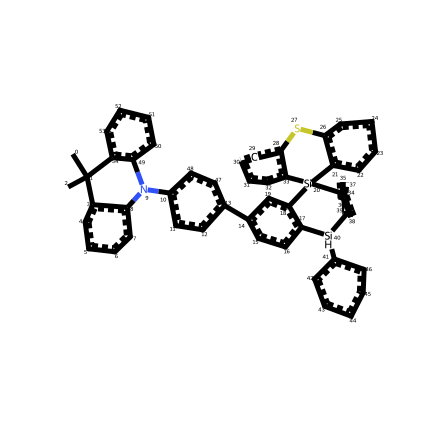 CC1(C)c2ccccc2N(c2ccc(-c3ccc4c(c3)[Si]3(c5ccccc5Sc5ccccc53)c3ccccc3[SiH]4c3ccccc3)cc2)c2ccccc21